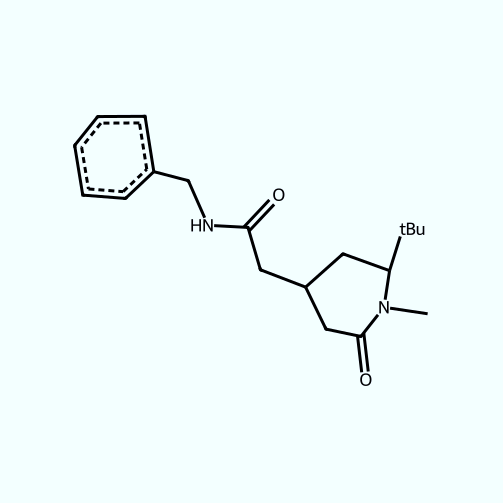 CN1C(=O)CC(CC(=O)NCc2ccccc2)CC1C(C)(C)C